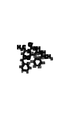 CC(COCc1ccccc1)n1c(=O)cc(N[C@@H](C)c2ccccc2)[nH]c1=O